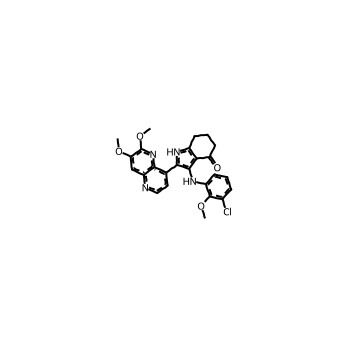 COc1cc2nccc(-c3[nH]c4c(c3Nc3cccc(Cl)c3OC)C(=O)CCC4)c2nc1OC